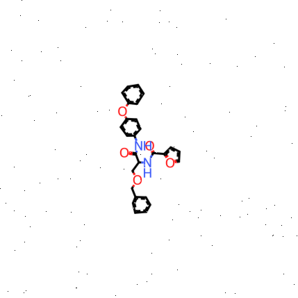 O=C(NC(COCc1ccccc1)C(=O)Nc1ccc(Oc2ccccc2)cc1)c1ccco1